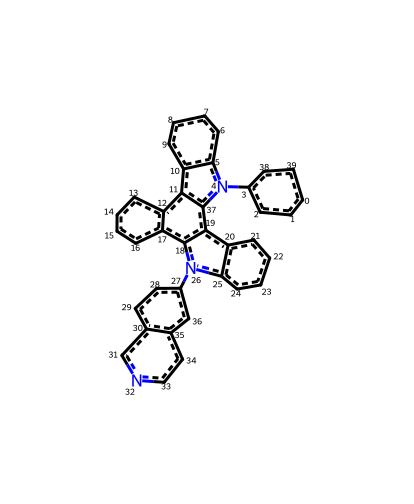 c1ccc(-n2c3ccccc3c3c4ccccc4c4c(c5ccccc5n4-c4ccc5cnccc5c4)c32)cc1